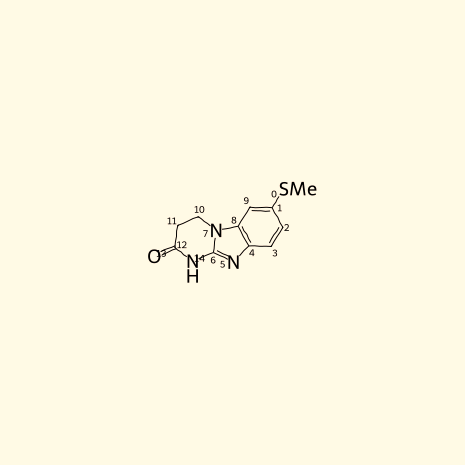 CSc1ccc2nc3n(c2c1)CCC(=O)N3